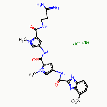 Cl.Cl.Cn1cc(NC(=O)c2cc(NC(=O)c3nc4c([N+](=O)[O-])cccc4[nH]3)cn2C)cc1C(=O)NCCC(=N)N